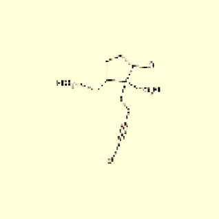 CCC#CCCC1(C(=O)OCC)C(=O)CCC1CC(=O)OCC